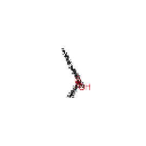 CCCCCCCCCCCCCCCCCCOCC(CO)OCCCCCCCC